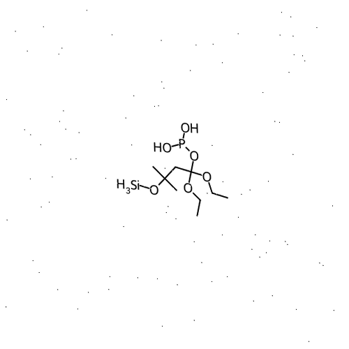 CCOC(CC(C)(C)O[SiH3])(OCC)OP(O)O